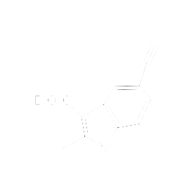 C#Cc1ccc2oc(C)c(C(=O)OCC)c2c1